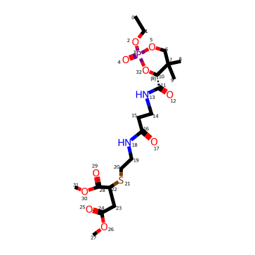 CCOP1(=O)OCC(C)(C)[C@H](C(=O)NCCC(=O)NCCSC(CC(=O)OC)C(=O)OC)O1